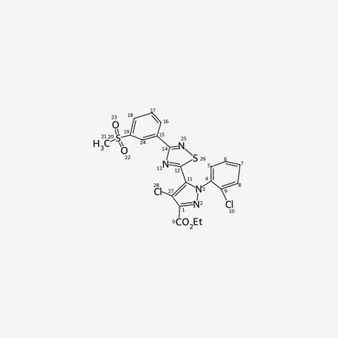 CCOC(=O)c1nn(-c2ccccc2Cl)c(-c2nc(-c3cccc(S(C)(=O)=O)c3)ns2)c1Cl